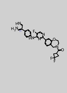 N=C/C(=C\N)c1ccc(Nc2nc(-c3ccc4c(c3)OCCN(C(=O)C3CC(F)(F)C3)C4)ncc2F)cc1